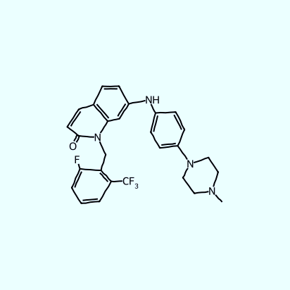 CN1CCN(c2ccc(Nc3ccc4ccc(=O)n(Cc5c(F)cccc5C(F)(F)F)c4c3)cc2)CC1